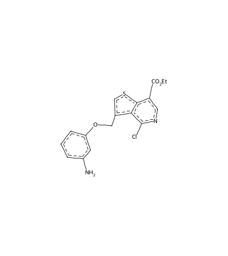 CCOC(=O)c1cnc(Cl)c2c(COc3cccc(N)c3)csc12